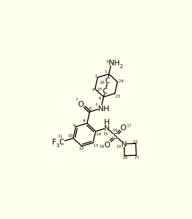 NC12CCC(NC(=O)c3cc(C(F)(F)F)ccc3NS(=O)(=O)N3CCC3)(CC1)CC2